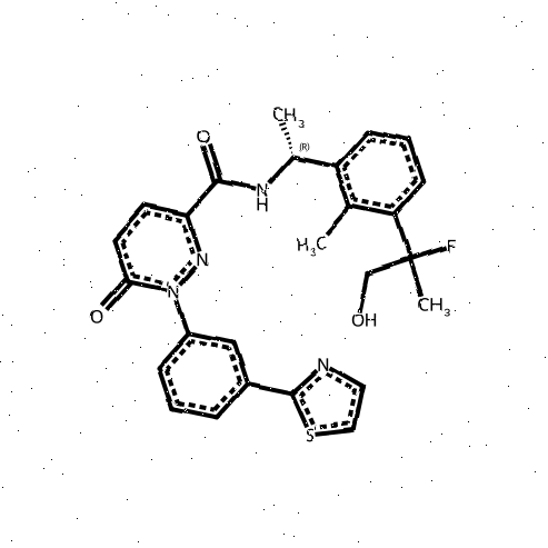 Cc1c([C@@H](C)NC(=O)c2ccc(=O)n(-c3cccc(-c4nccs4)c3)n2)cccc1C(C)(F)CO